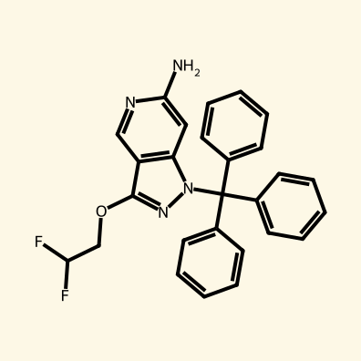 Nc1cc2c(cn1)c(OCC(F)F)nn2C(c1ccccc1)(c1ccccc1)c1ccccc1